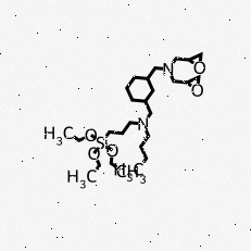 CCCCN(CCC[Si](OCC)(OCC)OCC)CC1CCCC(CN(CC2CO2)CC2CO2)C1